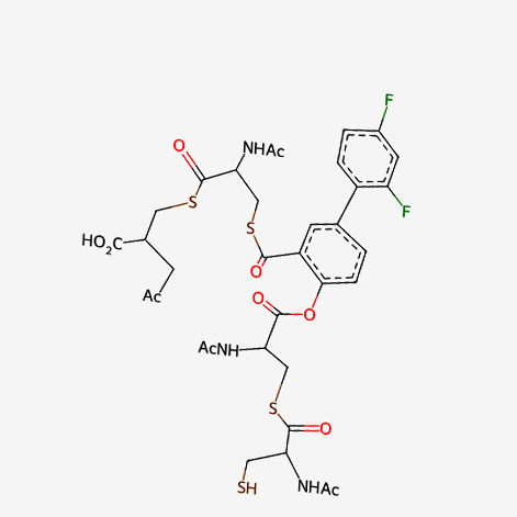 CC(=O)CC(CSC(=O)C(CSC(=O)c1cc(-c2ccc(F)cc2F)ccc1OC(=O)C(CSC(=O)C(CS)NC(C)=O)NC(C)=O)NC(C)=O)C(=O)O